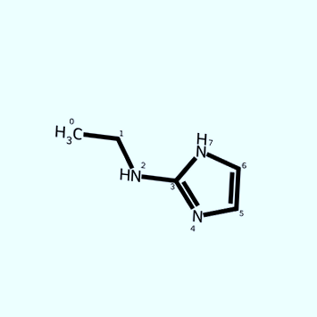 CCNc1ncc[nH]1